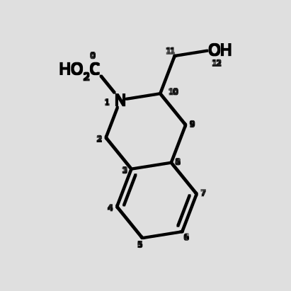 O=C(O)N1CC2=CCC=CC2CC1CO